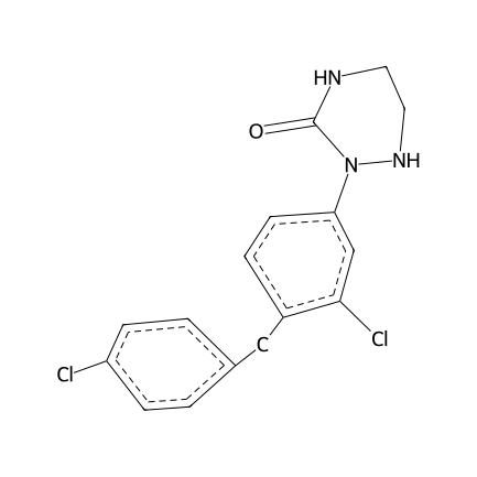 O=C1NCCNN1c1ccc(Cc2ccc(Cl)cc2)c(Cl)c1